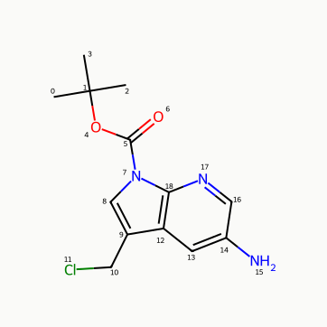 CC(C)(C)OC(=O)n1cc(CCl)c2cc(N)cnc21